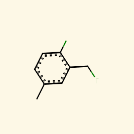 Cc1ccc(F)c(CF)c1